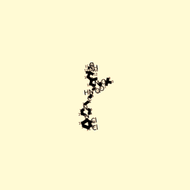 CC(C)(C)OC(=O)N1CC(CC(C)(C)[SH](C)(C)=O)C[C@H]1C(=O)NCCCCN1CCN(c2cccc(Cl)c2Cl)CC1